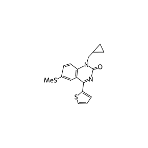 CSc1ccc2c(c1)c(-c1cccs1)nc(=O)n2CC1CC1